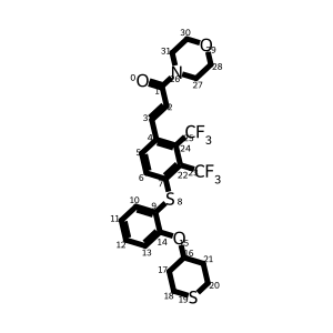 O=C(C=Cc1ccc(Sc2ccccc2OC2CCSCC2)c(C(F)(F)F)c1C(F)(F)F)N1CCOCC1